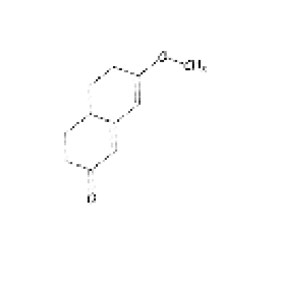 COC1=CC2=CC(=O)CCC2CC1